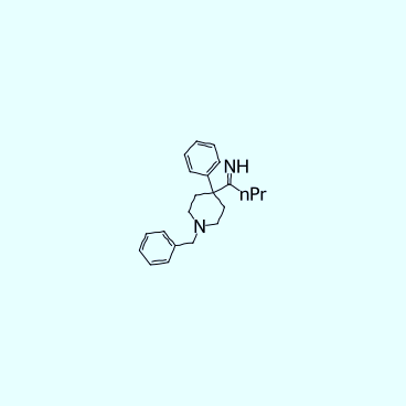 CCCC(=N)C1(c2ccccc2)CCN(Cc2ccccc2)CC1